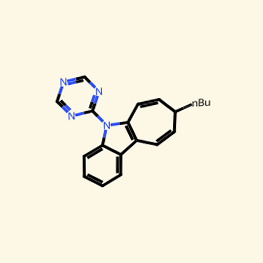 CCCCC1C=Cc2c(n(-c3ncncn3)c3ccccc23)C=C1